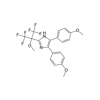 COc1ccc(-c2nc(C(OC)(C(F)(F)F)C(F)(F)F)[nH]c2-c2ccc(OC)cc2)cc1